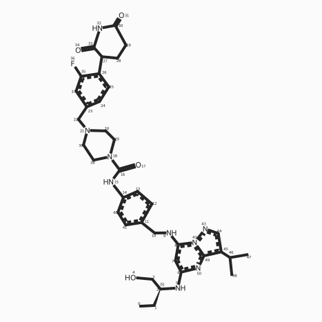 CC[C@@H](CO)Nc1cc(NCc2ccc(NC(=O)N3CCN(Cc4ccc(C5CCC(=O)NC5=O)c(F)c4)CC3)cc2)n2ncc(C(C)C)c2n1